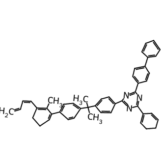 C=C/C=C\C1=C(C)C(c2ccc(C(C)(C)c3ccc(-c4nc(C5=CCCC=C5)nc(-c5ccc(-c6ccccc6)cc5)n4)cc3)cc2)=CCC1